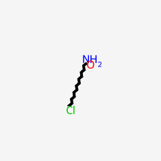 NC(=O)CCCCCCCCCCCCCCl